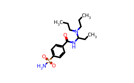 CCCN(CCC)C(CC)NC(=O)c1ccc(S(N)(=O)=O)cc1